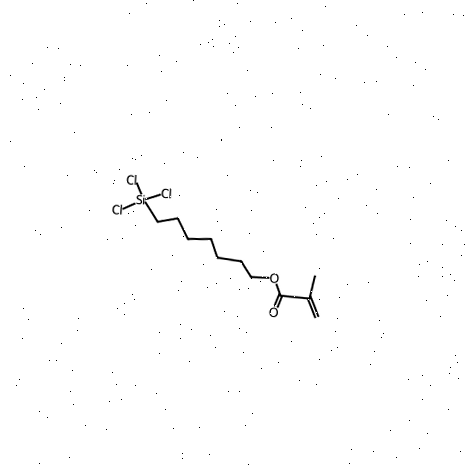 C=C(C)C(=O)OCCCCCCC[Si](Cl)(Cl)Cl